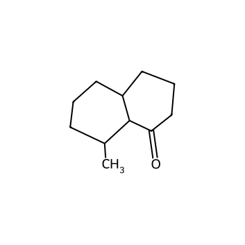 CC1CCCC2CCCC(=O)C12